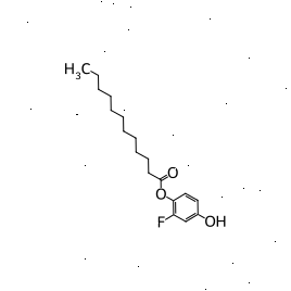 CCCCCCCCCCCC(=O)Oc1ccc(O)cc1F